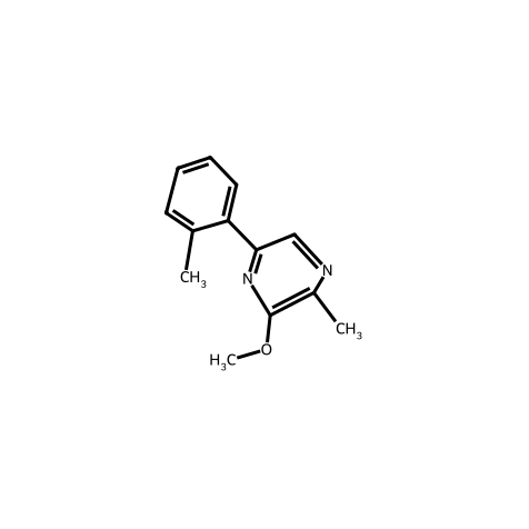 COc1nc(-c2ccccc2C)cnc1C